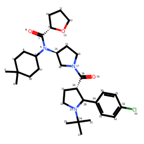 CC1(C)CCC(N(C(=O)[C@@H]2CCCO2)[C@H]2CCN(C(=O)[C@H]3CCN(C(C)(C)C)C3c3ccc(Cl)cc3)C2)CC1